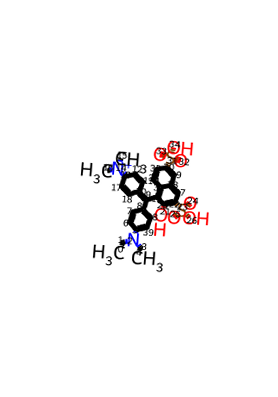 CCN(CC)c1ccc(C(=C2C=CC(=[N+](C)C)C=C2)c2c(O)c(S(=O)(=O)O)cc3cc(S(=O)(=O)O)ccc23)cc1